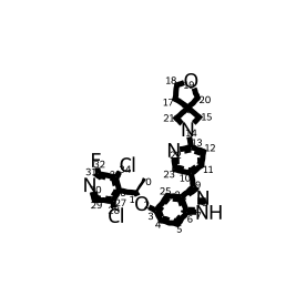 C[C@@H](Oc1ccc2[nH]nc(-c3ccc(N4CC5(CCOC5)C4)nc3)c2c1)c1c(Cl)cnc(F)c1Cl